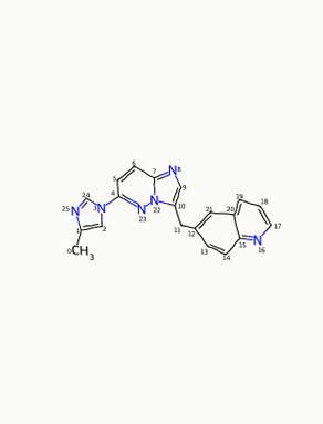 Cc1cn(-c2ccc3ncc(Cc4ccc5ncccc5c4)n3n2)cn1